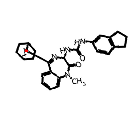 CN1C(=O)C(NC(=O)Nc2ccc3c(c2)CCC3)N=C(N2CC3CCC(CC3)C2)c2ccccc21